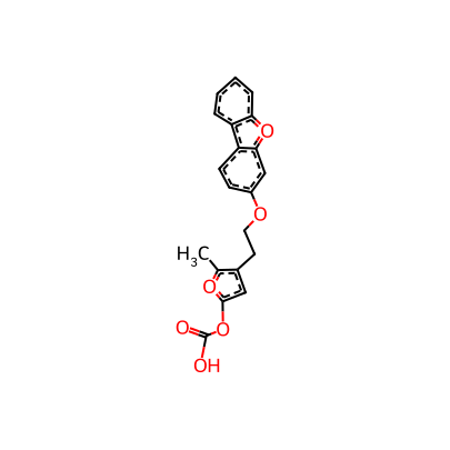 Cc1oc(OC(=O)O)cc1CCOc1ccc2c(c1)oc1ccccc12